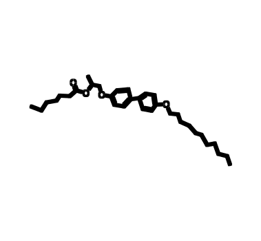 CCCCCCCCCCCOc1ccc(-c2ccc(OCC(C)OC(=O)CCCCCC)cc2)cc1